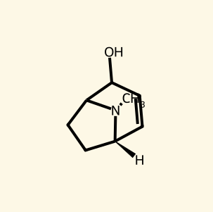 CN1C2CC[C@H]1C=CC2O